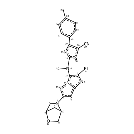 CCc1nc2sc(N3CC4CC3CO4)nn2c1N(C)c1nc(-c2ccc(C)cc2)c(C#N)s1